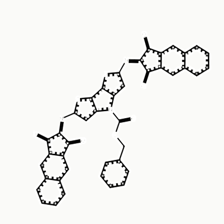 O=C(OCc1ccccc1)n1c2cc(N=c3c(=O)c4cc5ccccc5cc4c3=O)sc2c2sc(N=c3c(=O)c4cc5ccccc5cc4c3=O)cc21